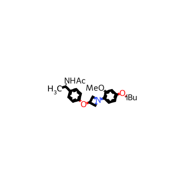 CCC(C)Oc1ccc(N2CC(Oc3ccc([C@H](C)NC(C)=O)cc3)C2)c(OC)c1